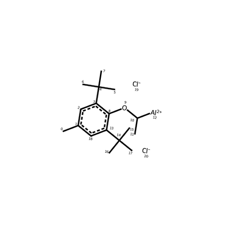 Cc1cc(C(C)(C)C)c(O[CH](C)[Al+2])c(C(C)(C)C)c1.[Cl-].[Cl-]